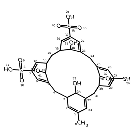 CC1=CC2CC3=CC(S(=O)(=O)O)=CC(CC4C=C(S(=O)(=O)O)C=C(CC5=CC(S)=CC(CC(=C1)C2O)C5O)C4O)C3O